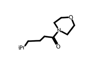 CC(C)CCCC(=O)N1CCOCC1